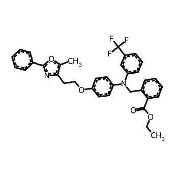 CCOC(=O)c1ccccc1CN(c1ccc(OCCc2nc(-c3ccccc3)oc2C)cc1)c1cccc(C(F)(F)F)c1